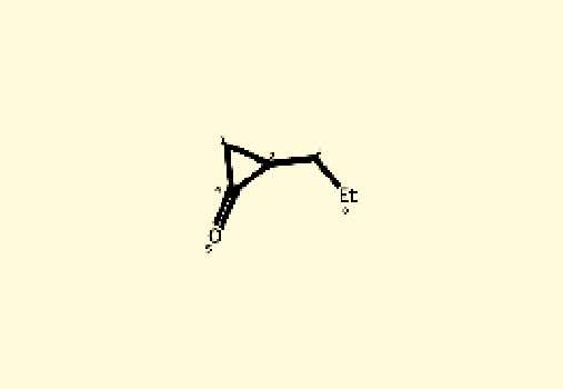 CCCC1CC1=O